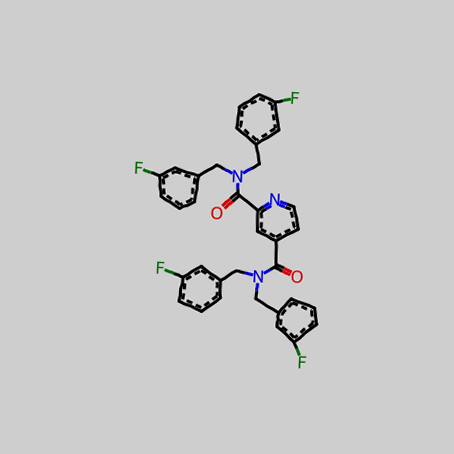 O=C(c1ccnc(C(=O)N(Cc2cccc(F)c2)Cc2cccc(F)c2)c1)N(Cc1cccc(F)c1)Cc1cccc(F)c1